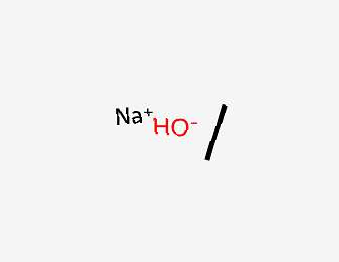 CC.[Na+].[OH-]